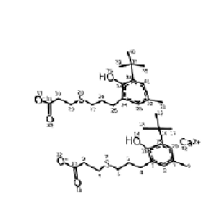 Cc1cc(CCCSCCC(=O)[O-])c(O)c(C(C)(C)C)c1.Cc1cc(CCCSCCC(=O)[O-])c(O)c(C(C)(C)C)c1.[Ca+2]